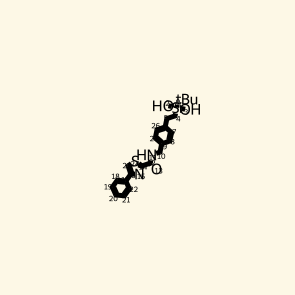 CC(C)(C)[Si](O)(O)CCc1ccc(CNC(=O)c2nc(-c3ccccc3)cs2)cc1